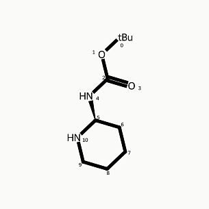 CC(C)(C)OC(=O)N[C@H]1CCCCN1